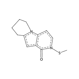 CSn1ccc2c(cc3n2CCCC3)c1=O